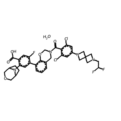 O.O=C(O)c1cc(F)c(-c2cccc3c2OCN(C(=O)c2c(Cl)cc(N4CC5(CN(CC(F)F)C5)C4)cc2Cl)C3)cc1N1C2CCC1COC2